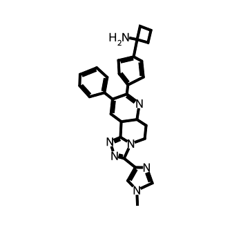 Cn1cnc(-c2nnc3n2CCC2N=C(c4ccc(C5(N)CCC5)cc4)C(c4ccccc4)=CC32)c1